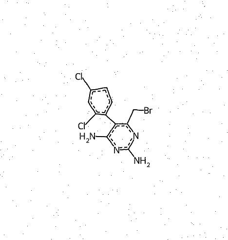 Nc1nc(N)c(-c2ccc(Cl)cc2Cl)c(CBr)n1